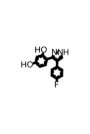 Oc1ccc(-c2n[nH]cc2-c2ccc(F)cc2)c(O)c1